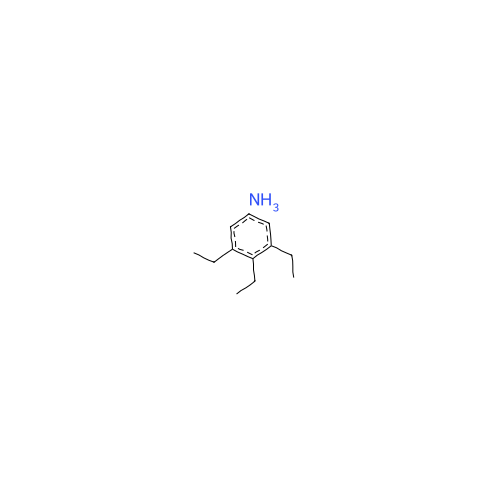 CCc1cccc(CC)c1CC.N